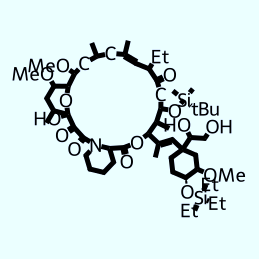 CCC1/C=C(\C)CC(C)CC(OC)C2OC(O)(C(=O)C(=O)N3CCCCC3C(=O)OC(C(C)=CC3(C(O)CO)CC[C@@H](O[Si](CC)(CC)CC)C(OC)C3)C(C)C(O[Si](C)(C)C(C)(C)C)CC1=O)C(C)CC2OC